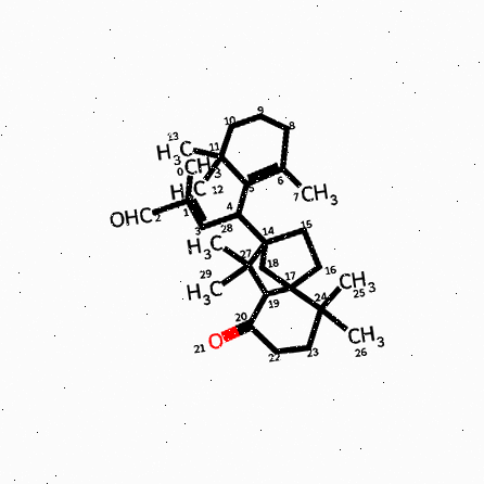 CC(C=O)=CC(C1=C(C)CCCC1(C)C)C12CCC3(C1)C(C(=O)CCC3(C)C)C2(C)C